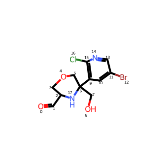 O=CC1COCC(CO)(c2cc(Br)cnc2Cl)N1